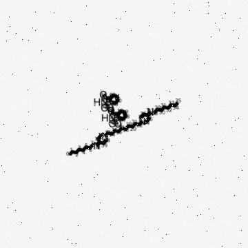 CCCCCCCCN=c1ccn(CCCCCCCCCCn2ccc(=NCCCCCCCC)cc2)cc1.O=C1NS(=O)(=O)c2ccccc21.O=C1NS(=O)(=O)c2ccccc21